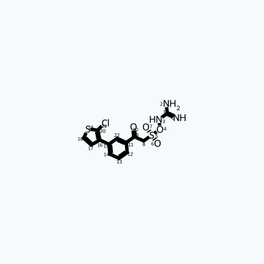 N=C(N)NOS(=O)(=O)CC(=O)c1cccc(-c2ccsc2Cl)c1